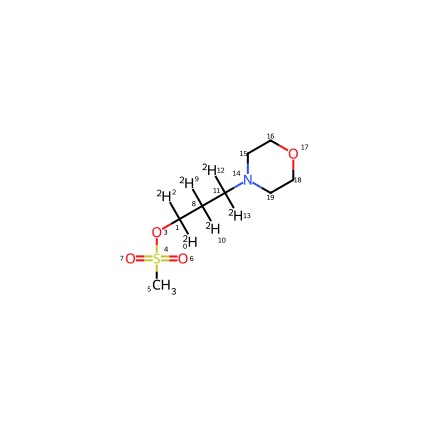 [2H]C([2H])(OS(C)(=O)=O)C([2H])([2H])C([2H])([2H])N1CCOCC1